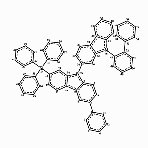 c1ccc(-c2ccc3c(c2)c2ccc([Si](c4ccccc4)(c4ccccc4)c4ccccc4)cc2n3-c2ccc3c4ccccc4n(-c4ccccc4-c4ccccc4)c3c2)cc1